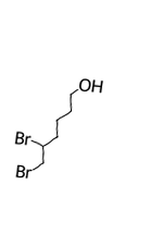 OCCCCC(Br)CBr